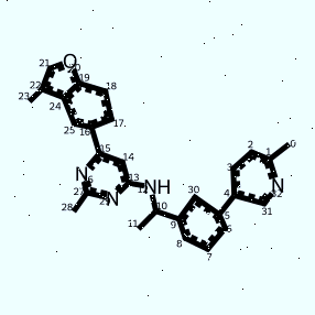 Cc1ccc(-c2cccc(C(C)Nc3cc(-c4ccc5occ(C)c5c4)nc(C)n3)c2)cn1